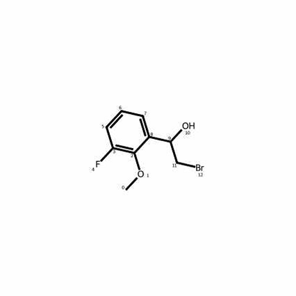 COc1c(F)cccc1C(O)CBr